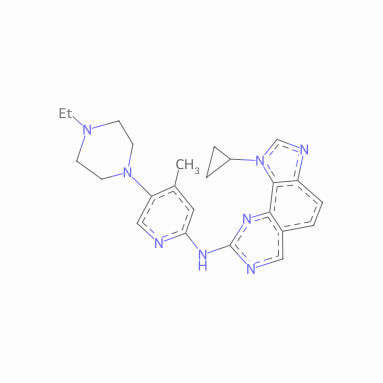 CCN1CCN(c2cnc(Nc3ncc4ccc5ncn(C6CC6)c5c4n3)cc2C)CC1